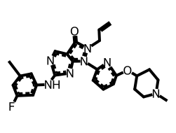 C=CCn1c(=O)c2cnc(Nc3cc(C)cc(F)c3)nc2n1-c1cccc(OC2CCN(C)CC2)n1